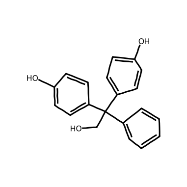 OCC(c1ccccc1)(c1ccc(O)cc1)c1ccc(O)cc1